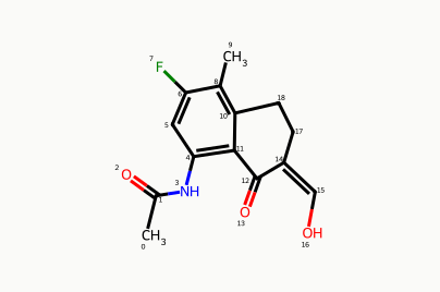 CC(=O)Nc1cc(F)c(C)c2c1C(=O)C(=CO)CC2